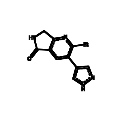 CCc1nc2c(cc1-c1cn[nH]c1)C(=O)NC2